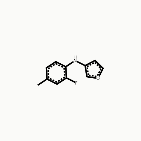 Cc1ccc(Nc2ccoc2)c(F)c1